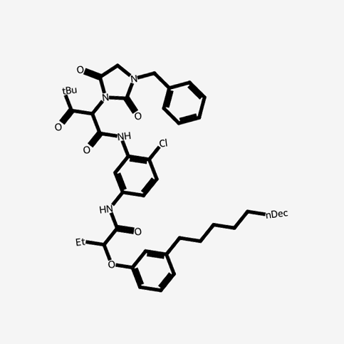 CCCCCCCCCCCCCCCc1cccc(OC(CC)C(=O)Nc2ccc(Cl)c(NC(=O)C(C(=O)C(C)(C)C)N3C(=O)CN(Cc4ccccc4)C3=O)c2)c1